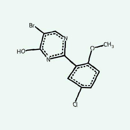 COc1ccc(Cl)cc1-c1ncc(Br)c(O)n1